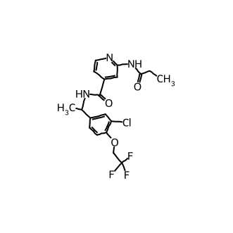 CCC(=O)Nc1cc(C(=O)NC(C)c2ccc(OCC(F)(F)F)c(Cl)c2)ccn1